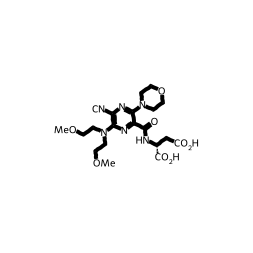 [C-]#[N+]c1nc(N2CCOCC2)c(C(=O)N[C@H](CC(=O)O)C(=O)O)nc1N(CCOC)CCOC